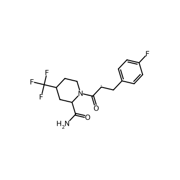 NC(=O)C1CC(C(F)(F)F)CCN1C(=O)[CH]Cc1ccc(F)cc1